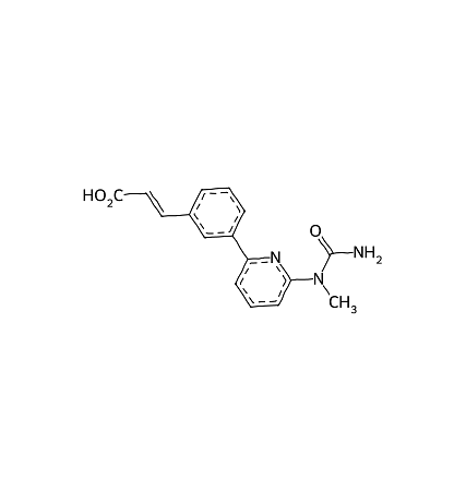 CN(C(N)=O)c1cccc(-c2cccc(/C=C/C(=O)O)c2)n1